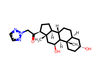 C[C@]12CC[C@@H](O)C[C@@H]1CC[C@@H]1[C@@H]2[C@@H](O)C[C@]2(C)[C@@H](C(=O)Cn3nccn3)CC[C@@H]12